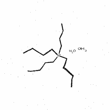 CCCC[N+](CCCC)(CCCC)CCCC.O.O